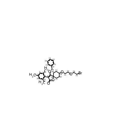 Cc1cc(C)c(C2=C(OCc3ccccc3)C3(CCC(OCCOCCBr)CC3)OC2=O)c(C)c1